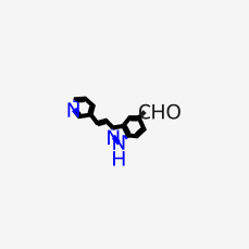 O=Cc1ccc2[nH]nc(/C=C/c3cccnc3)c2c1